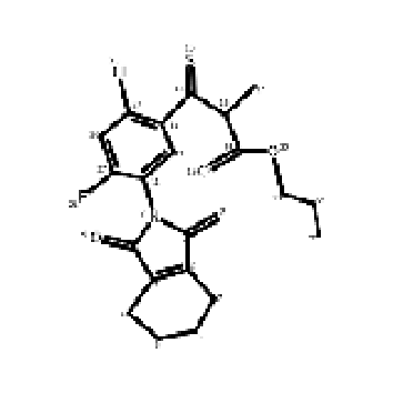 C=C1C2=C(CCCC2)C(=O)N1c1cc(C(=S)C(C)C(=O)OCCC)c(Cl)cc1F